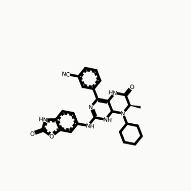 C[C@@H]1C(=O)NC2=C(c3cccc(C#N)c3)N=C(Nc3ccc4[nH]c(=O)oc4c3)NC2N1C1CCCCC1